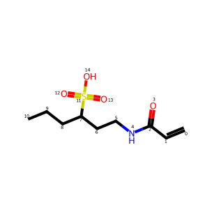 C=CC(=O)NCCC(CCC)S(=O)(=O)O